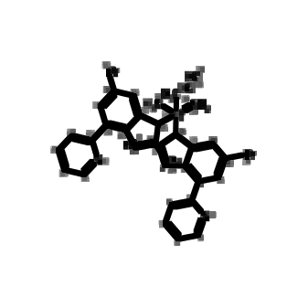 CCCCC1=Cc2c(-c3ccccn3)cc(C(C)C)cc2[CH]1[Hf]([CH3])([CH3])(=[SiH2])[CH]1C(CCCC)=Cc2c(-c3ccccn3)cc(C(C)C)cc21.Cl.Cl